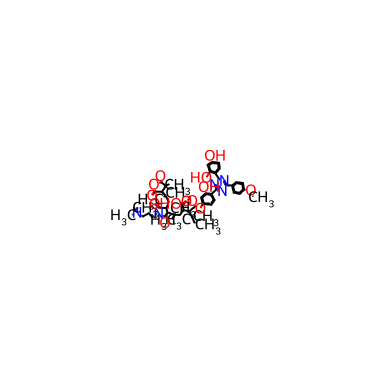 CCC(C)(C)C(C(=O)Oc1ccc(-c2nc(-c3ccc(OC)cc3)nc(-c3ccc(O)cc3O)n2)c(O)c1)C(CC(C)(C)C1C(=O)N(CCCN(C)C)C(=O)C1CC(C)(C)C1C(=O)OC(=O)C1C)C(=O)O